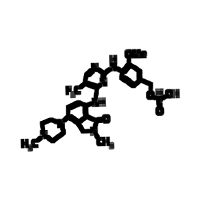 COc1cc(CO[PH](=O)O)ccc1Nc1ncc(C(F)(F)F)c(Nc2ccc(N3CCN(C)CC3)c3c2C(=O)N(C)C3)n1